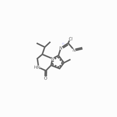 C=N/C(Cl)=N\c1c(C)cc2n1C(C(C)C)CNC2=O